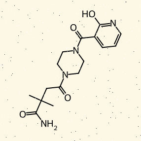 CC(C)(CC(=O)N1CCN(C(=O)c2cccnc2O)CC1)C(N)=O